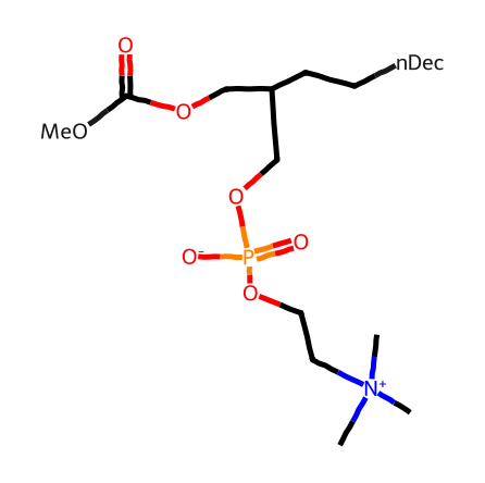 CCCCCCCCCCCCC(COC(=O)OC)COP(=O)([O-])OCC[N+](C)(C)C